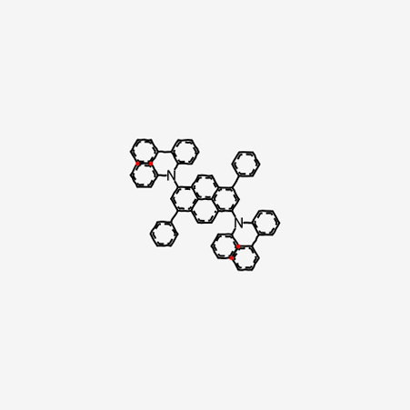 c1ccc(-c2ccccc2N(c2ccccc2)c2cc(-c3ccccc3)c3ccc4c(N(c5ccccc5)c5ccccc5-c5ccccc5)cc(-c5ccccc5)c5ccc2c3c54)cc1